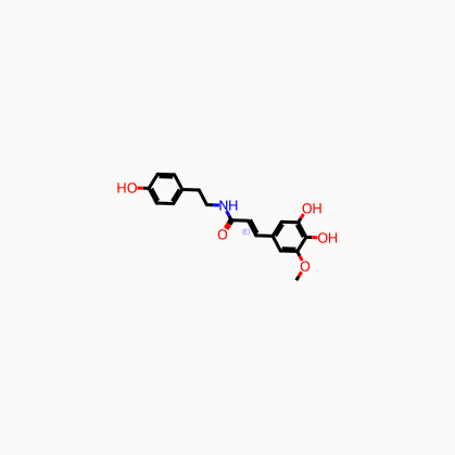 COc1cc(/C=C/C(=O)NCCc2ccc(O)cc2)cc(O)c1O